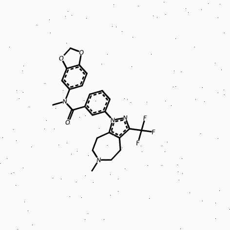 CN1CCc2c(C(F)(F)F)nn(-c3cccc(C(=O)N(C)c4ccc5c(c4)OCO5)c3)c2CC1